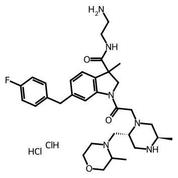 CC1COCCN1C[C@H]1CN[C@H](C)CN1CC(=O)N1CC(C)(C(=O)NCCN)c2ccc(Cc3ccc(F)cc3)cc21.Cl.Cl